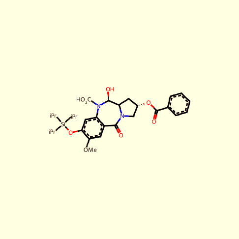 COc1cc2c(cc1O[Si](C(C)C)(C(C)C)C(C)C)N(C(=O)O)[C@@H](O)C1C[C@H](OC(=O)c3ccccc3)CN1C2=O